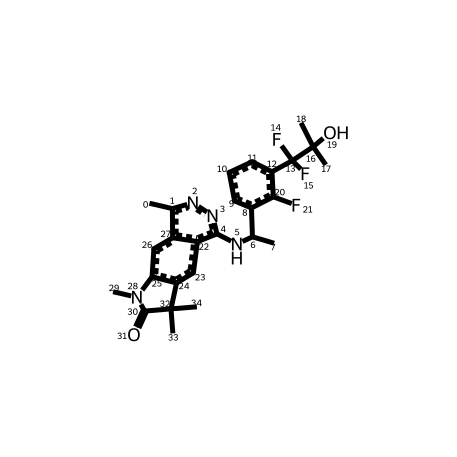 Cc1nnc(NC(C)c2cccc(C(F)(F)C(C)(C)O)c2F)c2cc3c(cc12)N(C)C(=O)C3(C)C